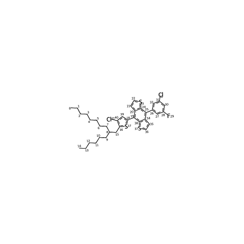 CCCCCCCCC(CCCCCC)Cc1sc(-c2c3ccsc3c(-c3cc(F)cc(Cl)c3)c3ccsc23)cc1Cl